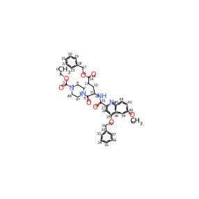 CCOC(=O)N1CCN(C(=O)C(CCC(=O)OCc2ccccc2)NC(=O)c2cc(OCc3ccccc3)c3cc(OC)ccc3n2)CC1